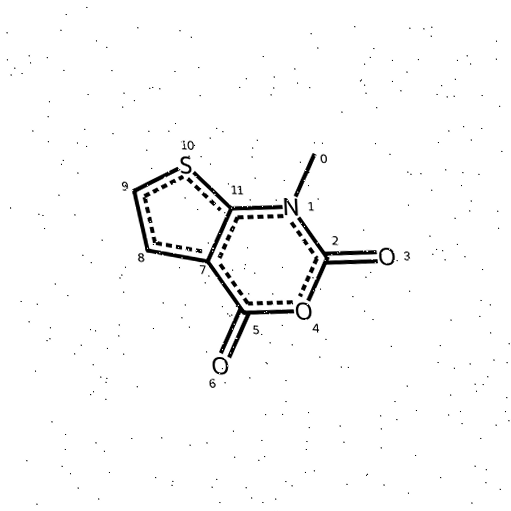 Cn1c(=O)oc(=O)c2ccsc21